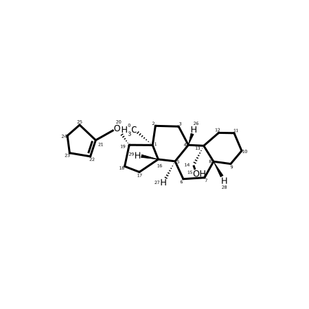 C[C@]12CC[C@H]3[C@@H](CC[C@H]4CCCC[C@@]43CO)[C@@H]1CC[C@@H]2OC1=CCCC1